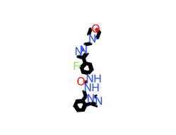 O=C(NCC1c2ccccc2-c2cncn21)Nc1ccc(-c2cnn(CCN3CCOCC3)c2)c(F)c1